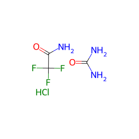 Cl.NC(=O)C(F)(F)F.NC(N)=O